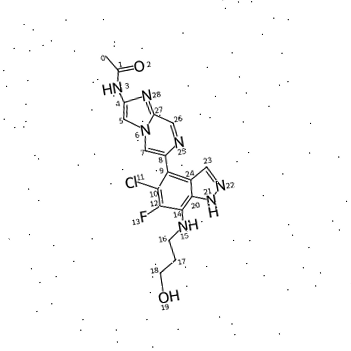 CC(=O)Nc1cn2cc(-c3c(Cl)c(F)c(NCCCO)c4[nH]ncc34)ncc2n1